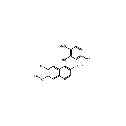 CCOC(=O)c1cnc2cc(OCC)c(Br)cc2c1Nc1cc(C(F)(F)F)ccc1OC